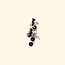 Cc1cc(Oc2ccccc2)ccc1N1C(=O)Nc2c(C(=O)NC3CCCN(C(=O)/C(C#N)=C/C4CC4)C3)sc3nccc1c23